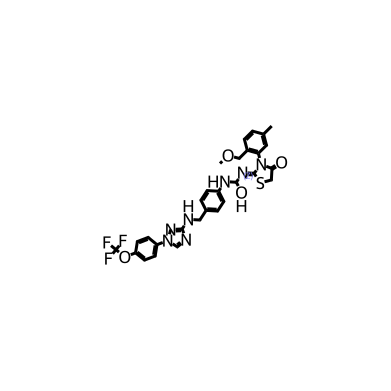 COCc1ccc(C)cc1N1C(=O)CS/C1=N\C(O)Nc1ccc(CNc2ncn(-c3ccc(OC(F)(F)F)cc3)n2)cc1